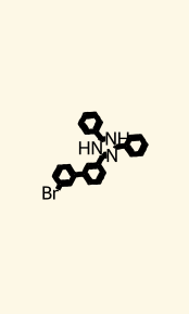 Brc1cccc(-c2cccc(C3=NC(c4ccccc4)NC(c4ccccc4)N3)c2)c1